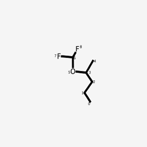 CCCC(C)O[C](F)F